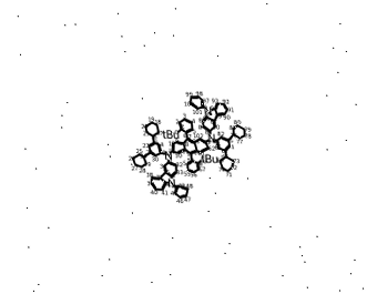 CC(C)(C)c1ccccc1-c1c2ccc(N(c3cc(C4CCCCC4)cc(C4CCCCC4)c3)c3ccc4c(c3)c3ccccc3n4-c3ccccc3)cc2c(-c2ccccc2C(C)(C)C)c2ccc(N(c3cc(C4CCCCC4)cc(C4CCCCC4)c3)c3ccc4c(c3)c3ccccc3n4-c3ccccc3)cc12